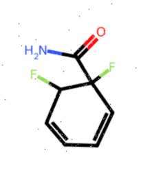 NC(=O)C1(F)C=CC=CC1F